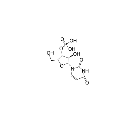 O=c1ccn([C@@H]2O[C@@H](CO)[C@H](OP(=O)(O)O)[C@H]2O)c(=O)[nH]1